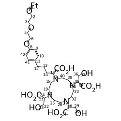 CCOCCOCCOc1ccc(CCC[C@H](C(=O)O)N2CCN([C@@H](CO)C(=O)O)CCN([C@@H](CO)C(=O)O)CCN([C@@H](CO)C(=O)O)CC2)cc1